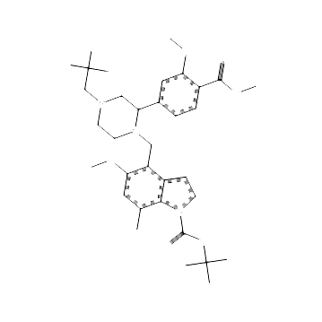 COC(=O)c1ccc(C2CN(CC(F)(F)F)CCN2Cc2c(OC)cc(C)c3c2ccn3C(=O)OC(C)(C)C)cc1OC